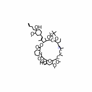 C=CCCC1(O)CCC(C=C(C)C2OC(=O)C3CCCCN3C(=O)C(=O)C3(O)OC(C(OC)CC(C)C/C(C)=C/C(CC)C(=O)CC(O[Si](C)(C)C(C)(C)C)C2C)C(OC)CC3C)CC1OC